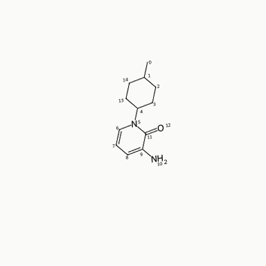 CC1CCC(n2cccc(N)c2=O)CC1